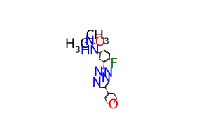 CN(C)C(=O)Nc1ccc(F)c(-c2nc3ncc(C4=CCOCC4)cn3n2)c1